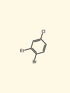 CCc1cc(Cl)ccc1Br